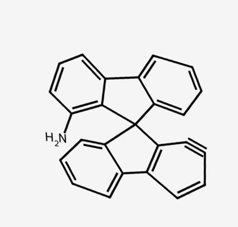 Nc1cccc2c1C1(c3c#cccc3-c3ccccc31)c1ccccc1-2